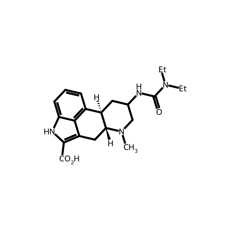 CCN(CC)C(=O)NC1C[C@@H]2c3cccc4[nH]c(C(=O)O)c(c34)C[C@H]2N(C)C1